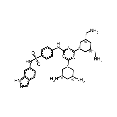 NC[C@@H]1C[C@H](CN)CN(c2nc(Nc3ccc(S(=O)(=O)Nc4ccc5cn[nH]c5c4)cc3)nc(N3C[C@H](N)C[C@H](N)C3)n2)C1